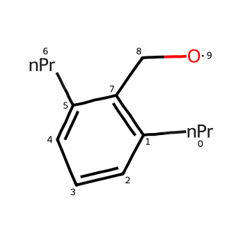 CCCc1cccc(CCC)c1C[O]